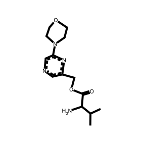 CC(C)C(N)C(=O)OCc1cncc(N2CCOCC2)n1